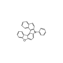 c1ccc(-n2c3ccc4ccccc4c3c3c4c(ccc32)oc2ccccc24)cc1